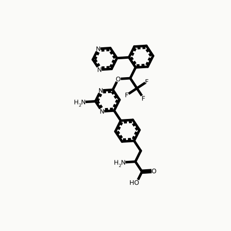 Nc1nc(OC(c2ccccc2-c2cncnc2)C(F)(F)F)cc(-c2ccc(CC(N)C(=O)O)cc2)n1